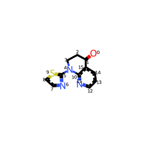 O=C1CCN(c2nccs2)c2ncccc21